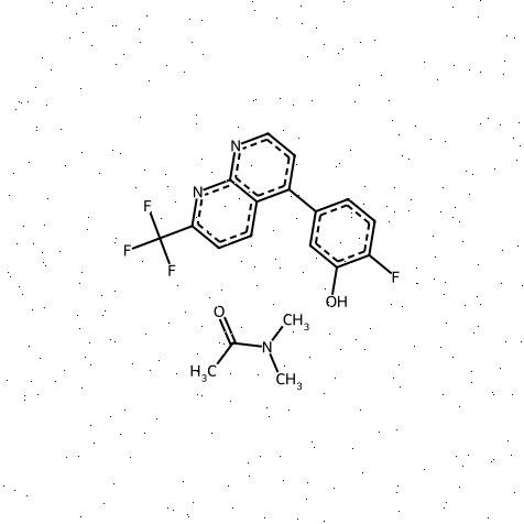 CC(=O)N(C)C.Oc1cc(-c2ccnc3nc(C(F)(F)F)ccc23)ccc1F